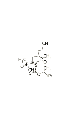 CC(C)C(C)OC(=S)SC(CC(CCC#N)P(C)(C)=O)P(C)(C)=O